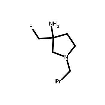 C[C](C)CN1CCC(N)(CF)C1